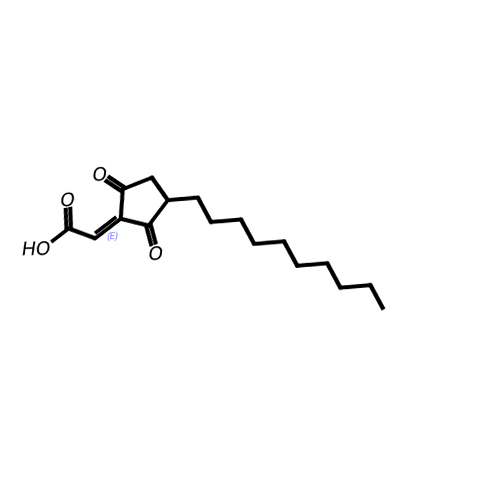 CCCCCCCCCCC1CC(=O)/C(=C\C(=O)O)C1=O